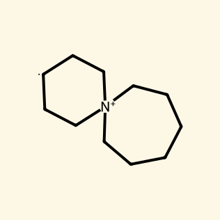 [CH]1CC[N+]2(CC1)CCCCCC2